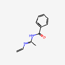 C=C/N=C(\C)NC(=O)c1ccccc1